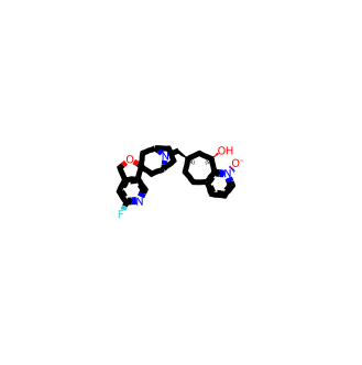 [O-][n+]1cccc2c1[C@@H](O)C[C@H](CN1C3CCC1CC1(C3)OCc3cc(F)ncc31)CC2